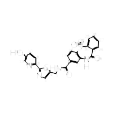 O=C(NCc1cnc(-c2ccc(O)cn2)s1)c1ccc2c(c1)NC(=O)c1ccccc1S2(=O)=O